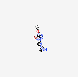 C[Si](C)(C)CCOCn1cc(Br)c2c(NCc3cccc(N4CCNC5(CC5)C4)n3)ncnc21